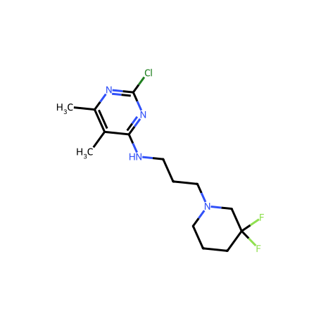 Cc1nc(Cl)nc(NCCCN2CCCC(F)(F)C2)c1C